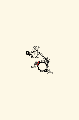 CNN(C)Cc1cc2ccccc2n1CCC(=O)N[C@@H](CCC(=O)O)CNCCOCCOCCS(=O)(=O)N(C)[C@@H](C)C(=O)O[C@H]1CC(=O)N(C)c2cc(cc(OC)c2Cl)C/C(C)=C/C=C/[C@@H](OC)[C@@]2(O)C[C@H](OC(=O)N2)[C@@H](C)[C@@H]2O[C@@]12C